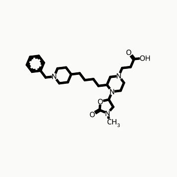 CN1CC(N2CCN(CCC(=O)O)CC2CCCCC2CCN(Cc3ccccc3)CC2)OC1=O